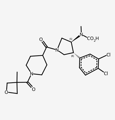 CN(C(=O)O)[C@@H]1CN(C(=O)C2CCN(C(=O)C3(C)COC3)CC2)C[C@H]1c1ccc(Cl)c(Cl)c1